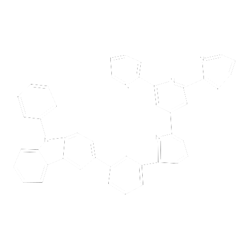 c1ccc(-n2c3ccccc3c3cc(-c4cccc(-c5cccc(-c6cc(-c7ccccn7)nc(-c7ccccn7)c6)n5)c4)ccc32)cc1